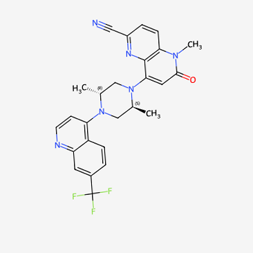 C[C@@H]1CN(c2cc(=O)n(C)c3ccc(C#N)nc23)[C@@H](C)CN1c1ccnc2cc(C(F)(F)F)ccc12